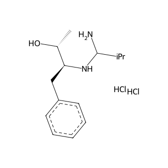 CC(C)C(N)N[C@@H](Cc1ccccc1)[C@@H](C)O.Cl.Cl